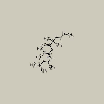 COCCC(C)(C)C(=O)C/C(=N/C(C)CN(C)C)C(C)C